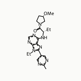 CC[C@H](Nc1ncnc2c1nc(-c1cnc(C)nc1)n2CC)C(=O)N1CC[C@H](OC)C1